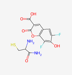 NC(=O)C(N)CS.O=C(O)c1cc2cc(F)c(O)c(F)c2oc1=O